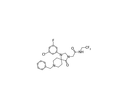 O=C(CN1CN(c2cc(F)cc(Cl)c2)C2(CCN(Cc3ccccc3)CC2)C1=O)NCC(F)(F)F